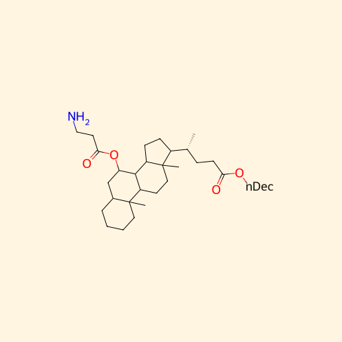 CCCCCCCCCCOC(=O)CC[C@@H](C)C1CCC2C3C(OC(=O)CCN)CC4CCCCC4(C)C3CCC21C